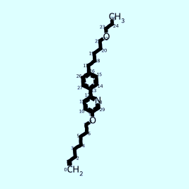 C=CCCCCCCOc1ccc(-c2ccc(CCCCCOCCC)cc2)nc1